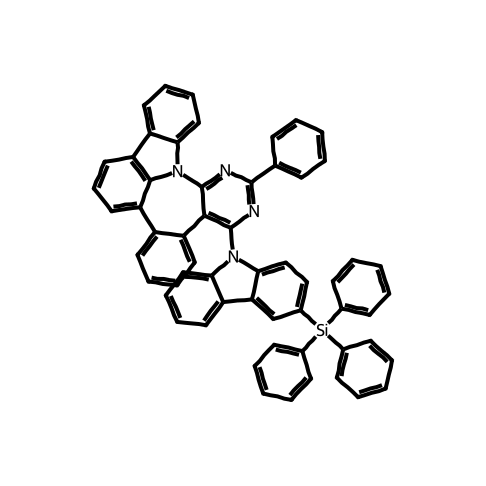 c1ccc(-c2nc(-n3c4ccccc4c4cc([Si](c5ccccc5)(c5ccccc5)c5ccccc5)ccc43)c3c(n2)-n2c4ccccc4c4cccc(c42)-c2ccccc2-3)cc1